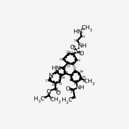 C=CC(=O)Nc1cc(-c2c(-c3ccc(S(=O)(=O)NCCNC)cc3)[nH]c3ncc(C(=O)OC(C)C)cc23)ccc1C